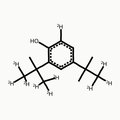 [2H]c1cc(C(C)(C)C([2H])([2H])[2H])cc(C(C)(C([2H])([2H])[2H])C([2H])([2H])[2H])c1O